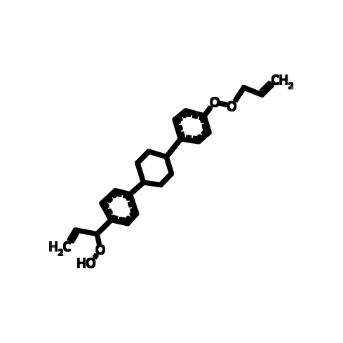 C=CCOOc1ccc(C2CCC(c3ccc(C(C=C)OO)cc3)CC2)cc1